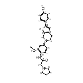 COc1cc(N2CCc3cc(-c4ccc(Cl)cc4)sc3C2)ccc1NC(=O)CN1CCCC1